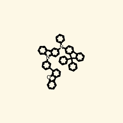 c1ccc(N(c2ccc3c(c2)C(c2ccccc2)(c2ccccc2)c2ccccc2-3)c2ccc3c(c2)c2ccccc2n3-c2cccc(-c3cccc4c3oc3ccccc34)c2)cc1